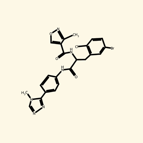 Cc1nocc1C(=O)NC(Cc1cc(Br)ccc1Cl)C(=O)Nc1ccc(-c2nncn2C)cc1